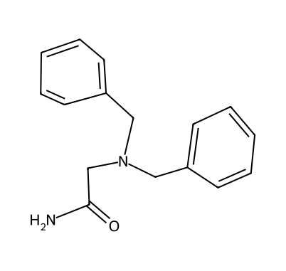 NC(=O)CN(Cc1ccccc1)Cc1ccccc1